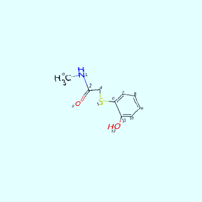 CNC(=O)CSc1ccccc1O